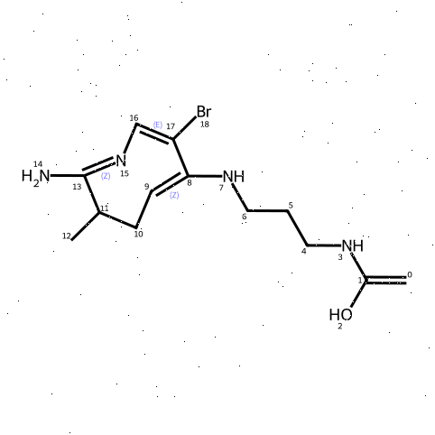 C=C(O)NCCCNC1=C\CC(C)/C(N)=N/C=C\1Br